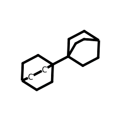 C1CC2(C34CCC(CC3)CC4)CCC1CC2